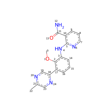 COc1c(Nc2ncccc2C(N)=O)cccc1-c1cnc(C)cn1